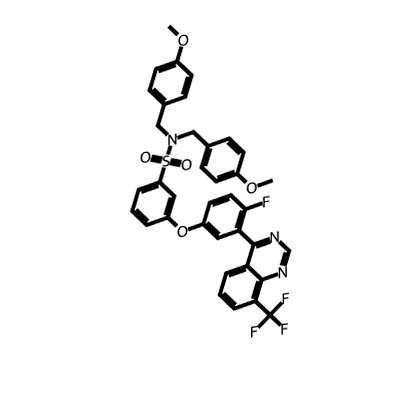 COc1ccc(CN(Cc2ccc(OC)cc2)S(=O)(=O)c2cccc(Oc3ccc(F)c(-c4ncnc5c(C(F)(F)F)cccc45)c3)c2)cc1